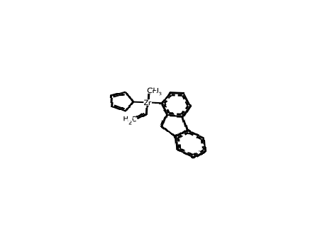 C=[CH][Zr]([CH3])([c]1cccc2c1Cc1ccccc1-2)[CH]1C=CC=C1